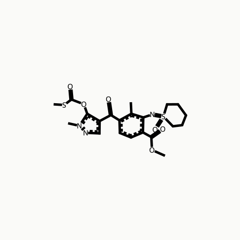 COC(=O)c1ccc(C(=O)c2cnn(C)c2OC(=O)SC)c(C)c1N=S1(=O)CCCCC1